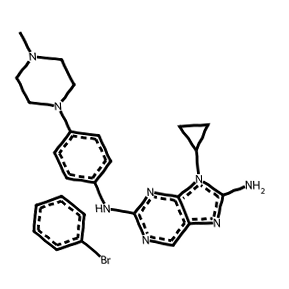 Brc1ccccc1.CN1CCN(c2ccc(Nc3ncc4nc(N)n(C5CC5)c4n3)cc2)CC1